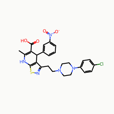 CC1=C(C(=O)O)C(c2cccc([N+](=O)[O-])c2)c2c(CCN3CCN(c4ccc(Cl)cc4)CC3)nsc2N1